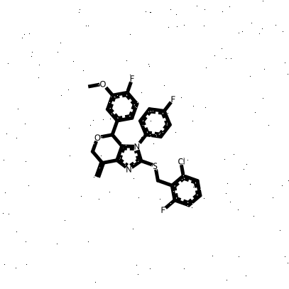 C=C1COC(c2ccc(F)c(OC)c2)c2c1nc(SCc1c(F)cccc1Cl)n2-c1ccc(F)cc1